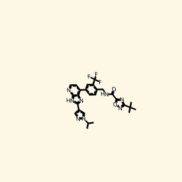 CC(C)n1cc(-c2nc3c(-c4ccc(CNC(=O)c5nc(C(C)(C)C)no5)c(C(F)(F)F)c4)ccnc3[nH]2)cn1